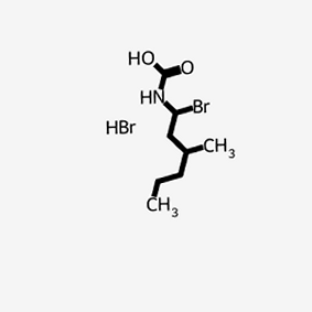 Br.CCCC(C)CC(Br)NC(=O)O